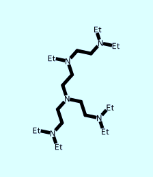 CCN(CC)CCN(CC)CCN(CCN(CC)CC)CCN(CC)CC